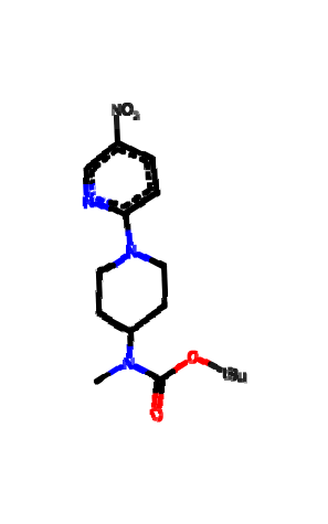 CN(C(=O)OC(C)(C)C)C1CCN(c2ccc([N+](=O)[O-])cn2)CC1